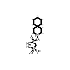 O=P(O)(O)CP(=O)(O)ON1CCC2(CCCCC2)CC1